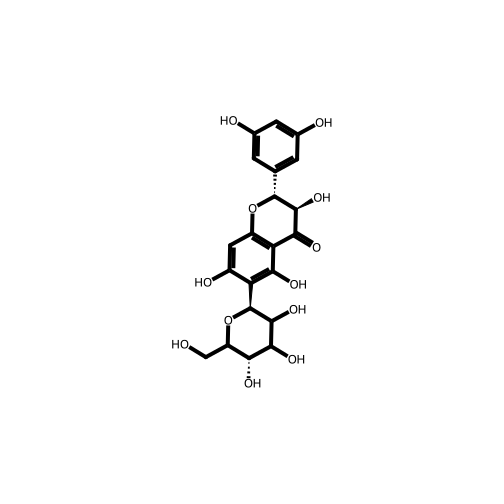 O=C1c2c(cc(O)c([C@@H]3OC(CO)[C@@H](O)C(O)C3O)c2O)O[C@H](c2cc(O)cc(O)c2)[C@H]1O